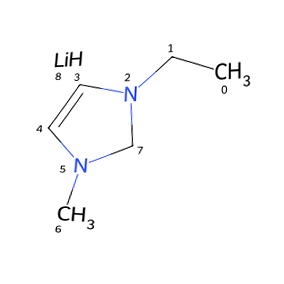 CCN1C=CN(C)C1.[LiH]